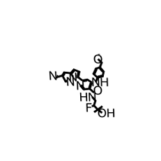 COCc1ccc(Nc2cc(-c3ccc4cc(C#N)cnn34)ncc2C(=O)NCC(F)C(C)(C)O)cc1